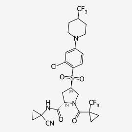 N#CC1(NC(=O)[C@@H]2C[C@@H](S(=O)(=O)c3ccc(N4CCC(C(F)(F)F)CC4)cc3Cl)CN2C(=O)C2(C(F)(F)F)CC2)CC1